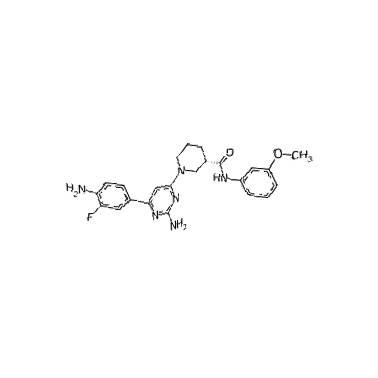 COc1cccc(NC(=O)[C@H]2CCCN(c3cc(-c4ccc(N)c(F)c4)nc(N)n3)C2)c1